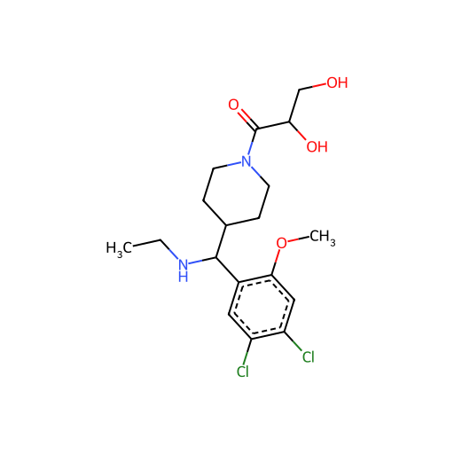 CCNC(c1cc(Cl)c(Cl)cc1OC)C1CCN(C(=O)C(O)CO)CC1